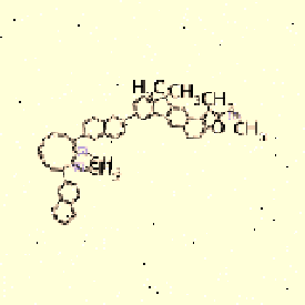 C/C=C\c1oc2ccc3cc4c(cc3c2c1C)C(C)(C)c1ccc(-c2ccc3cc(-c5ccccccc(-c6ccc7ccccc7c6)c(=C/C)/c5=C\C)ccc3c2)cc1-4